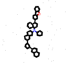 c1ccc(N(c2ccc3ccc(-c4cccc(-c5ccc6ccccc6c5)c4)cc3c2)c2ccc(-c3ccc4c(c3)oc3ccccc34)c3ccccc23)cc1